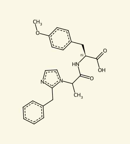 COc1ccc(C[C@H](NC(=O)C(C)n2ccnc2Cc2ccccc2)C(=O)O)cc1